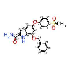 CS(=O)(=O)c1ccc(Oc2cc(OCc3ccccc3)c3[nH]c(C(N)=O)cc3c2)cc1